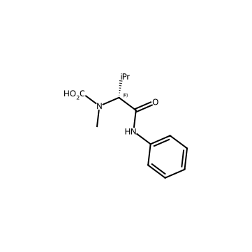 CC(C)[C@H](C(=O)Nc1ccccc1)N(C)C(=O)O